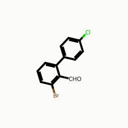 O=Cc1c(Br)cccc1-c1ccc(Cl)cc1